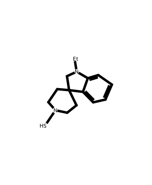 CCN1CC2(CCN(S)CC2)c2ccccc21